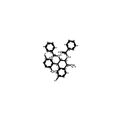 Cc1ccc(I)cc1C1c2cc(I)ccc2C(C)C(OC(=O)c2ccccc2)C1OC(=O)c1ccccc1